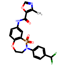 Cc1ncoc1C(=O)Nc1ccc2c(c1)S(=O)(=O)N(c1ccc(C(F)F)cc1)CCO2